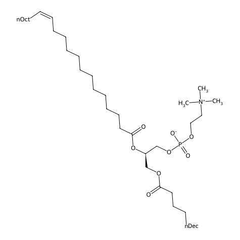 CCCCCCCC/C=C\CCCCCCCCCCCC(=O)O[C@H](COC(=O)CCCCCCCCCCCCC)COP(=O)([O-])OCC[N+](C)(C)C